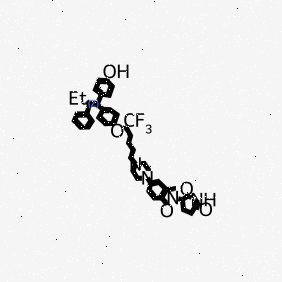 CC/C(=C(\c1ccc(O)cc1)c1ccc(OC(CCCCN2CCN(c3ccc4c(c3)CN(C3CCC(=O)NC3=O)C4=O)CC2)C(F)(F)F)cc1)c1ccccc1